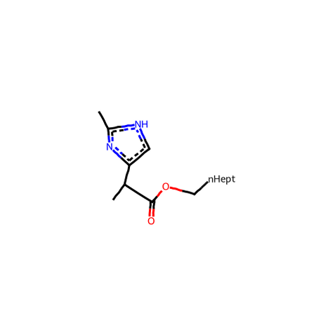 CCCCCCCCOC(=O)C(C)c1c[nH]c(C)n1